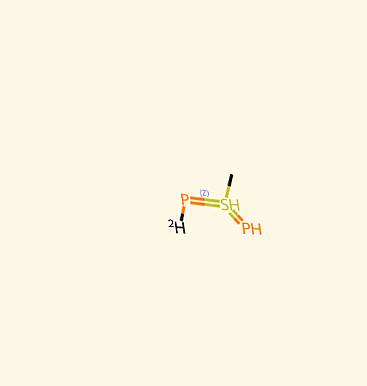 [2H]/P=[SH](/C)=P